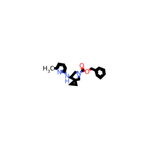 Cc1cccc(N[C@@H]2CN(C(=O)OCc3ccccc3)CC23CC3)n1